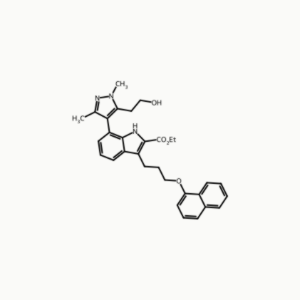 CCOC(=O)c1[nH]c2c(-c3c(C)nn(C)c3CCO)cccc2c1CCCOc1cccc2ccccc12